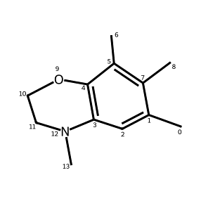 Cc1cc2c(c(C)c1C)OCCN2C